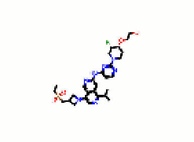 CCS(=O)(=O)C[C@H]1CN(c2cnc(C(C)C)c3cc(Nc4ccnc(N5CC[C@@H](OCCO)[C@@H](F)C5)n4)ncc23)[C@@H]1C